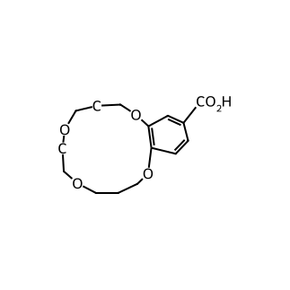 O=C(O)c1ccc2c(c1)OCCCOCCOCCCO2